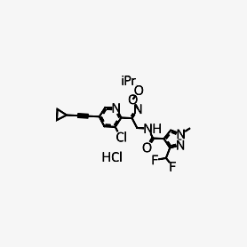 CC(C)OO/N=C(/CNC(=O)c1cn(C)nc1C(F)F)c1ncc(C#CC2CC2)cc1Cl.Cl